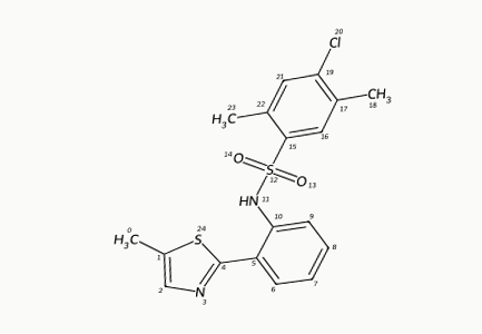 Cc1cnc(-c2ccccc2NS(=O)(=O)c2cc(C)c(Cl)cc2C)s1